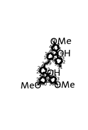 COc1ccc(C(O)(c2ccc(C)cc2)c2cccc(CCc3cccc(C(O)(c4ccc(OC)cc4)c4ccc(OC)cc4)c3)c2)cc1